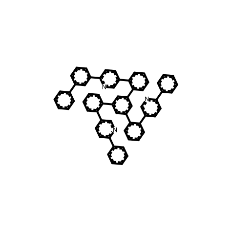 c1ccc(-c2cccc(-c3ccc(-c4ccccc4-c4cc(-c5ccccc5-c5ccc(-c6ccccc6)nc5)cc(-c5ccccc5-c5ccc(-c6ccccc6)nc5)c4)cn3)c2)cc1